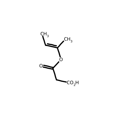 CC=C(C)OC(=O)CC(=O)O